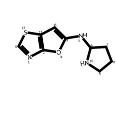 c1nc2oc(NC3CCCN3)cc2s1